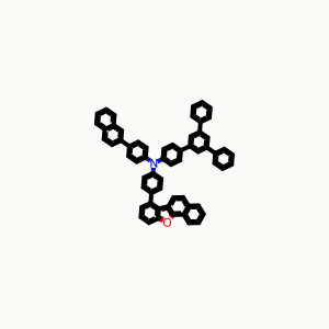 c1ccc(-c2cc(-c3ccccc3)cc(-c3ccc(N(c4ccc(-c5ccc6ccccc6c5)cc4)c4ccc(-c5cccc6oc7c8ccccc8ccc7c56)cc4)cc3)c2)cc1